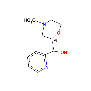 O=C(O)N1CCO[C@H](C(O)c2ccccn2)C1